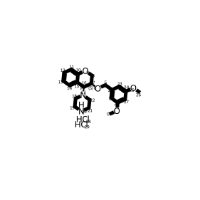 COc1cc(CO[C@@H]2COc3ccccc3[C@H]2N2CCNCC2)cc(OC)c1.Cl.Cl